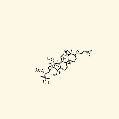 CC(=O)O[C@@H]([C@H]1C[C@@H](C)[C@H]2[C@H](O1)[C@H](O)[C@@]1(C)[C@@H]3CC[C@H]4C(C)(C)[C@@H](OCCN(C)C)CCC45C[C@@]35CC[C@]21C)C(C)(C)O